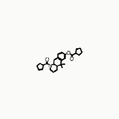 CC1(C)c2cc(OC(=O)C3CCCC3)ccc2CC2C1CCCN2C(=O)C1CCCC1